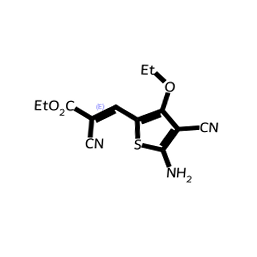 CCOC(=O)/C(C#N)=C/c1sc(N)c(C#N)c1OCC